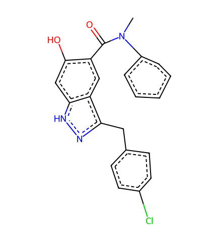 CN(C(=O)c1cc2c(Cc3ccc(Cl)cc3)n[nH]c2cc1O)c1ccccc1